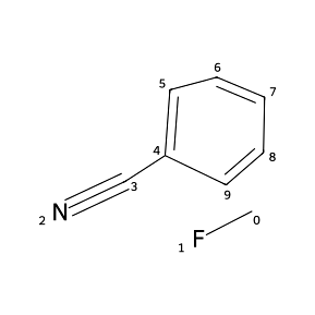 CF.N#Cc1ccccc1